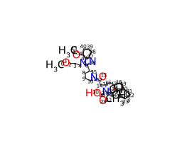 COCCCn1c([C@@H]2CCCN(C(=O)C[C@@H](Cc3ccc4ccccc4c3)N(C(=O)O)C(C)(C)C)C2)nc2cccc(OC)c21